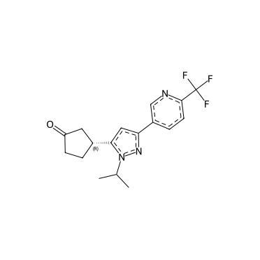 CC(C)n1nc(-c2ccc(C(F)(F)F)nc2)cc1[C@@H]1CCC(=O)C1